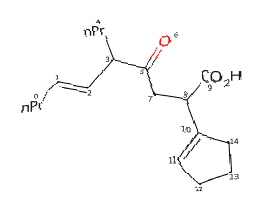 CCCC=CC(CCC)C(=O)CC(C(=O)O)C1=CCCC1